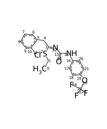 CCSC(Cc1ccccc1Cl)=NC(=O)Nc1ccc(OC(F)(F)F)cc1